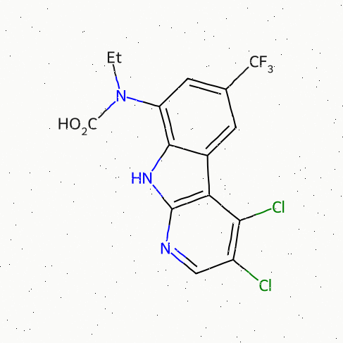 CCN(C(=O)O)c1cc(C(F)(F)F)cc2c1[nH]c1ncc(Cl)c(Cl)c12